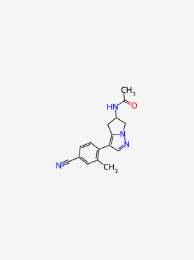 CC(=O)NC1Cc2c(-c3ccc(C#N)cc3C)cnn2C1